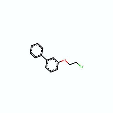 ClCCOc1cccc(-c2ccccc2)c1